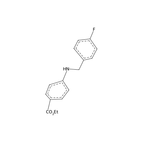 CCOC(=O)c1ccc(NCc2ccc(F)cc2)cc1